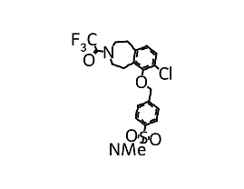 CNS(=O)(=O)c1ccc(COc2c(Cl)ccc3c2CCN(C(=O)C(F)(F)F)CC3)cc1